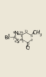 CC1CC(=O)c2sc(Br)nc2C1